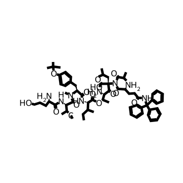 CCC(C)[C@H](NC(=O)[C@H](Cc1ccc(OC(C)(C)C)cc1)N(C)C(=O)[C@@H](NC(=O)[C@@H](N)CCCO)C(C)CC)C(=O)OC(C)[C@H](N)C(=O)[C@](CC(C)C)(C(=O)O)N(C(=O)C(C)C)C(=O)[C@@H](N)CCC(=O)NC(c1ccccc1)(c1ccccc1)c1ccccc1